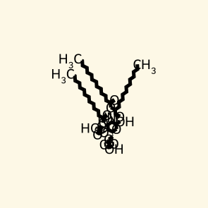 CCCCCCCCCCCCCC(=O)OC(CCCCCCCCCCCC)C(=O)N[C@H]1C(O)O[C@H](COS(=O)(=O)O)[C@@H](OS(=O)(=O)O)[C@@H]1OC(=O)CCCCCCCCCCCCC